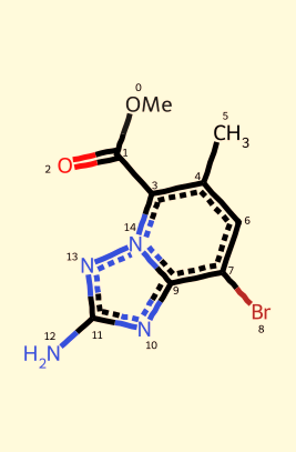 COC(=O)c1c(C)cc(Br)c2nc(N)nn12